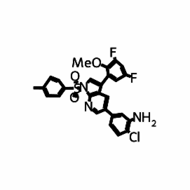 COc1c(F)cc(F)cc1-c1cn(S(=O)(=O)c2ccc(C)cc2)c2ncc(-c3ccc(Cl)c(N)c3)cc12